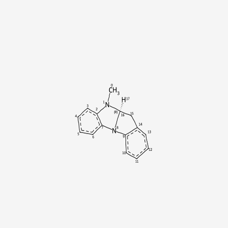 CN1c2ccccc2N2c3ccccc3C[C@H]12